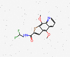 COc1c2cccnc2c(OC)c2sc(C(=O)NCC(F)F)cc12